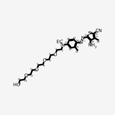 CCN(CCOCCOCCOCCOCCO)c1ccc(/N=N/c2sc(C#N)c(C)c2N)c(C)c1